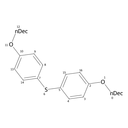 CCCCCCCCCCOc1ccc(Sc2ccc(OCCCCCCCCCC)cc2)cc1